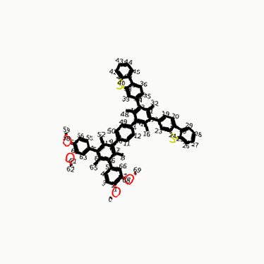 COc1ccc(-c2c(C)c(-c3ccc(-c4c(C)c(-c5ccc6c(c5)sc5ccccc56)c(C)c(-c5ccc6c(c5)sc5ccccc56)c4C)cc3)c(C)c(-c3ccc(OC)c(OC)c3)c2C)cc1OC